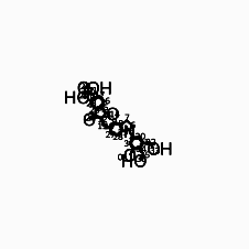 COc1cc(N2CCc3cc(C=C4C(=O)c5ccc(P(=O)(O)O)cc5C4=O)ccc32)cc(CO)c1CO